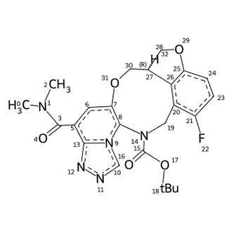 CN(C)C(=O)c1cc2c(n3cnnc13)N(C(=O)OC(C)(C)C)Cc1c(F)ccc3c1[C@H](CO3)CO2